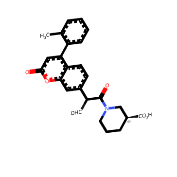 Cc1ccccc1-c1cc(=O)oc2cc(C(C=O)C(=O)N3CCC[C@H](C(=O)O)C3)ccc12